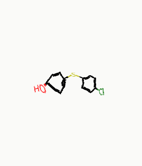 Oc1ccc(Sc2ccc(Cl)cc2)cc1